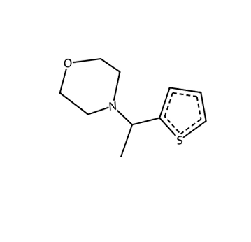 CC(c1cccs1)N1CCOCC1